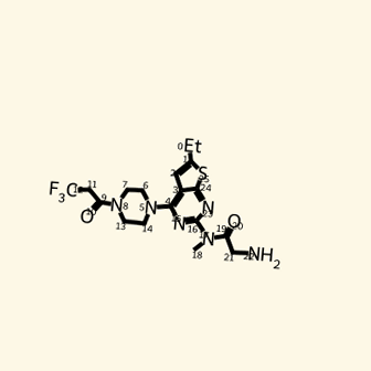 CCc1cc2c(N3CCN(C(=O)CC(F)(F)F)CC3)nc(N(C)C(=O)CN)nc2s1